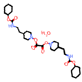 O.O=C(NCCC1CCN(OC(=O)C(=O)ON2CCC(CCNC(=O)OC3CCCCC3)CC2)CC1)OC1CCCCC1